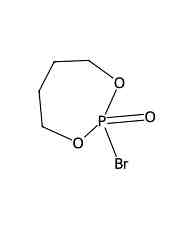 O=P1(Br)OCCCCO1